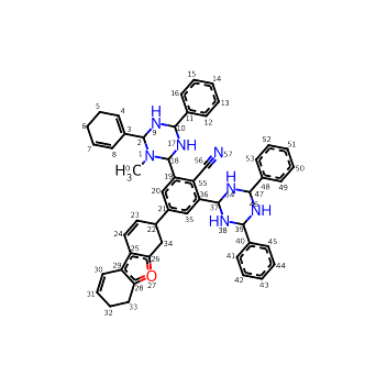 CN1C(C2=CCCC=C2)NC(c2ccccc2)NC1c1cc(C2C=Cc3c(oc4c3C=CCC4)C2)cc(C2NC(c3ccccc3)NC(c3ccccc3)N2)c1C#N